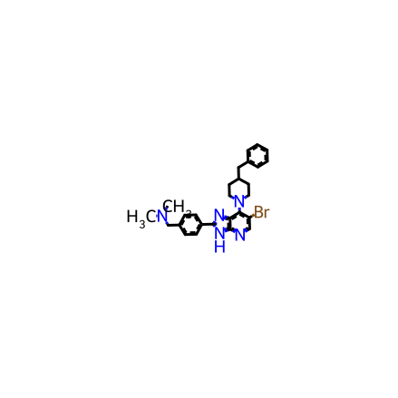 CN(C)Cc1ccc(-c2nc3c(N4CCC(Cc5ccccc5)CC4)c(Br)cnc3[nH]2)cc1